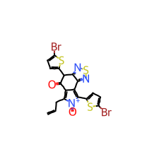 C=CCC1=C2C(=O)C(c3ccc(Br)s3)c3nsnc3C2=C(c2ccc(Br)s2)[N+]1=O